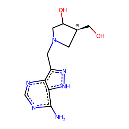 Nc1ncnc2c(CN3CC(O)[C@@H](CO)C3)n[nH]c12